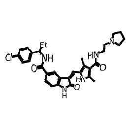 CCC(NC(=O)c1ccc2c(c1)C(=Cc1[nH]c(C)c(C(=O)NCCN3CCCC3)c1C)C(=O)N2)c1ccc(Cl)cc1